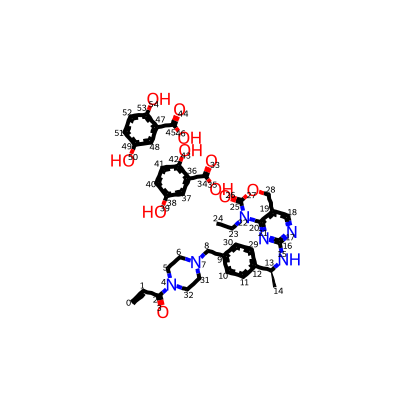 C=CC(=O)N1CCN(Cc2ccc([C@H](C)Nc3ncc4c(n3)N(CC)C(=O)OC4)cc2)CC1.O=C(O)c1cc(O)ccc1O.O=C(O)c1cc(O)ccc1O